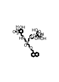 CCN(CC)CCN(CCNCCc1ccc(O)c2[nH]c(=O)sc12)C(=O)CCOCCc1cccc2ccccc12.O=C(O)CC(O)(CC(=O)O)C(=O)O